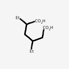 CCC(CC(=O)O)CC(CC)C(=O)O